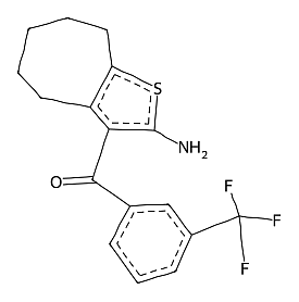 Nc1sc2c(c1C(=O)c1cccc(C(F)(F)F)c1)CCCCC2